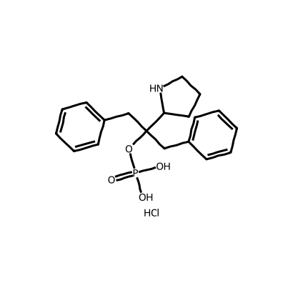 Cl.O=P(O)(O)OC(Cc1ccccc1)(Cc1ccccc1)C1CCCN1